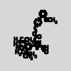 COc1ccccc1N1CCN(CCOC(=O)Cc2nc(NC=O)sc2-c2cc(C(C)(C)C)c(O)c(C(C)(C)C)c2)CC1